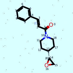 O=C(/C=C/c1ccccc1)N1CCC([C@@H]2CO2)CC1